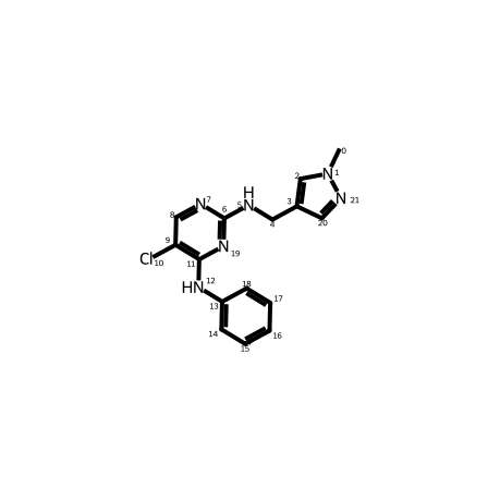 Cn1cc(CNc2ncc(Cl)c(Nc3c[c]ccc3)n2)cn1